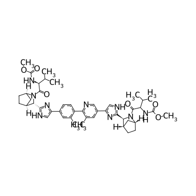 COC(=O)NC(C(=O)N1[C@@H]2CC[C@@H](C2)[C@H]1c1nc(-c2cnc(-c3ccc(-c4c[nH]c([C@@H]5[C@H]6CC[C@H](C6)N5C(=O)[C@@H](NC(=O)OC)C(C)C)n4)cc3C)c(C)c2)c[nH]1)C(C)C